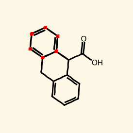 O=C(O)C12c3ccccc3C(c3ccccc31)c1ccccc12